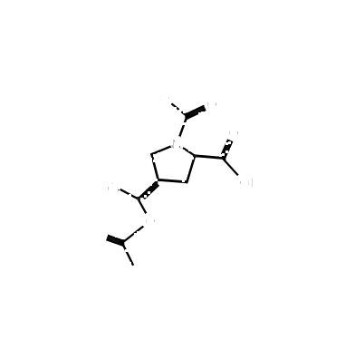 CC(=O)O/C(Cl)=C1\CC(C(=O)O)N(C(=O)O)C1